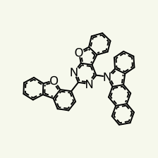 c1ccc2cc3c(cc2c1)c1ccccc1n3-c1nc(-c2cccc3c2oc2ccccc23)nc2oc3ccccc3c12